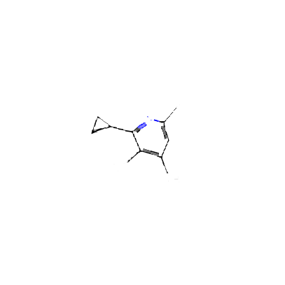 Cc1cc(C)c(C(F)(F)F)c(C2CC2)n1